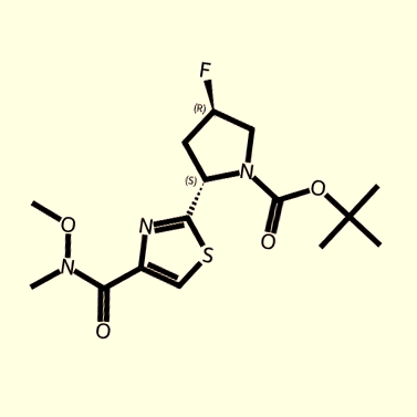 CON(C)C(=O)c1csc([C@@H]2C[C@@H](F)CN2C(=O)OC(C)(C)C)n1